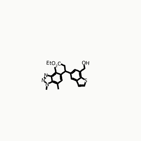 CCOC(=O)CC(c1cc(CO)c2sccc2c1)c1cc(C)c2c(nnn2C)c1C